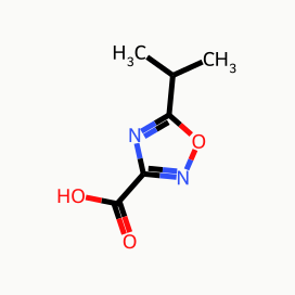 CC(C)c1nc(C(=O)O)no1